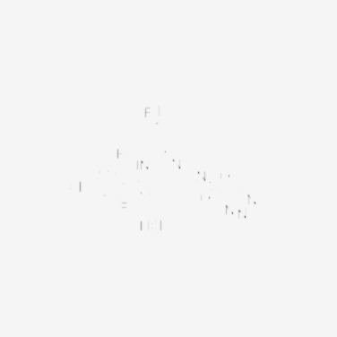 Cl.Cn1cc(S(=O)(=O)N2CCN(C3(CNC(=O)c4c(F)cc(Cl)cc4F)CCC(F)(F)CC3)CC2)nn1